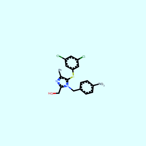 CC(C)c1nc(CO)n(Cc2ccc([N+](=O)[O-])cc2)c1Sc1cc(Cl)cc(Cl)c1